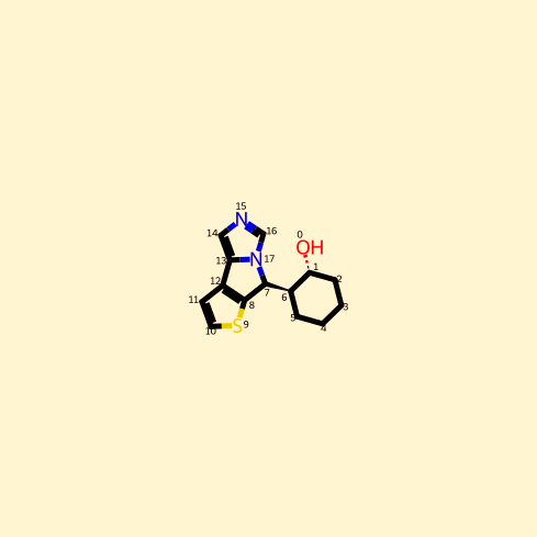 O[C@@H]1CCCC[C@H]1C1c2sccc2-c2cncn21